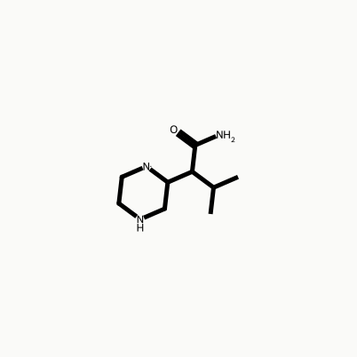 CC(C)C(C(N)=O)C1CNCC[N]1